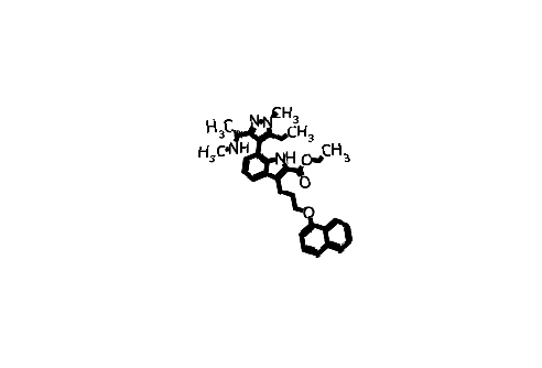 CCOC(=O)c1[nH]c2c(-c3c([C@@H](C)NC)nn(C)c3CC)cccc2c1CCCOc1cccc2ccccc12